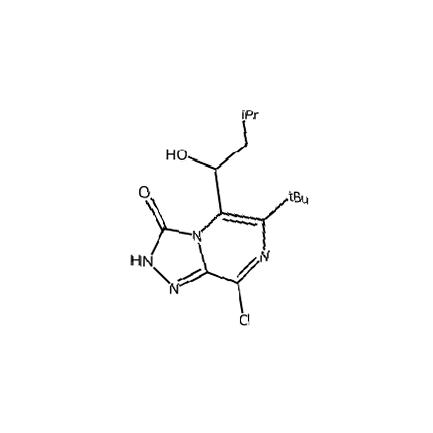 CC(C)CC(O)c1c(C(C)(C)C)nc(Cl)c2n[nH]c(=O)n12